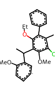 CCOc1c(-c2ccccc2)c(C)c(Cl)c(OC)c1C(C)c1c[c]ccc1OC